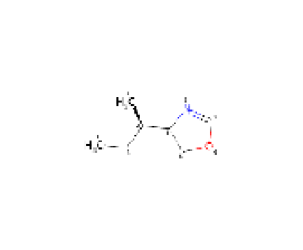 CC[C@@H](C)[C@H]1COC=N1